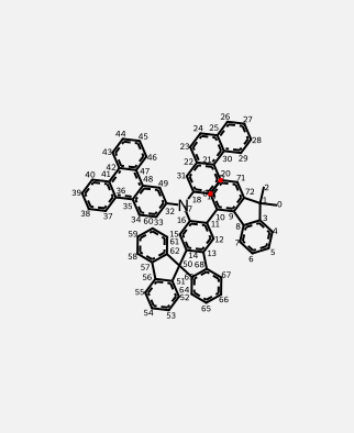 CC1(C)c2ccccc2-c2c(-c3cc4c(cc3N(c3ccc5c(ccc6ccccc65)c3)c3ccc5c6ccccc6c6ccccc6c5c3)C3(c5ccccc5-c5ccccc53)c3ccccc3-4)cccc21